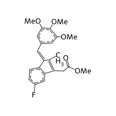 COC(=O)CC1=C(C)C(=Cc2cc(OC)c(OC)c(OC)c2)c2ccc(F)cc21